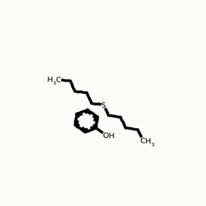 CCCCCSCCCCC.Oc1ccccc1